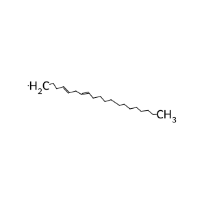 [CH2]CCC=CCC=CCCCCCCCCCCCC